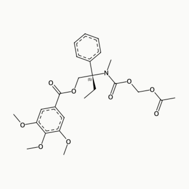 CC[C@@](COC(=O)c1cc(OC)c(OC)c(OC)c1)(c1ccccc1)N(C)C(=O)OCOC(C)=O